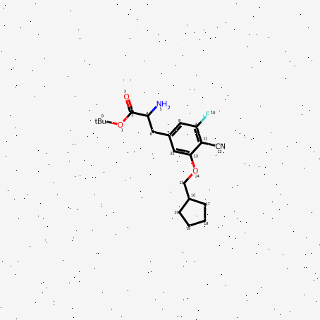 CC(C)(C)OC(=O)C(N)Cc1cc(F)c(C#N)c(OCC2CCCC2)c1